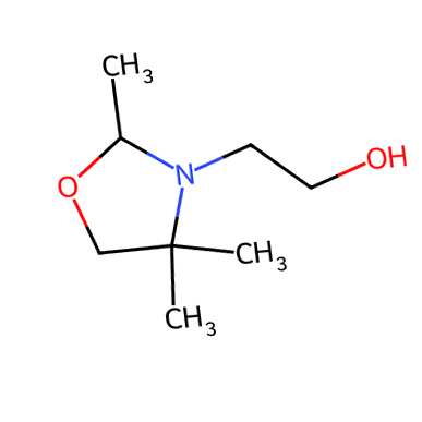 CC1OCC(C)(C)N1CCO